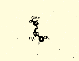 COC(=O)c1cc(SCc2nc(-c3cc(F)cc(C(F)(F)F)c3)c(C)s2)cs1